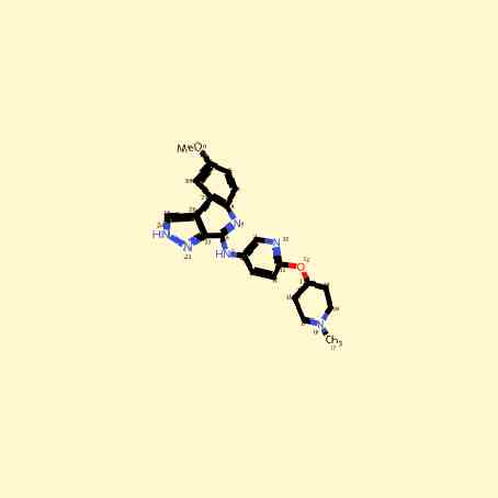 COc1ccc2nc(Nc3ccc(OC4CCN(C)CC4)nc3)c3n[nH]cc3c2c1